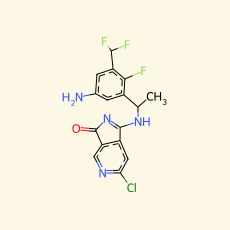 CC(NC1=NC(=O)c2cnc(Cl)cc21)c1cc(N)cc(C(F)F)c1F